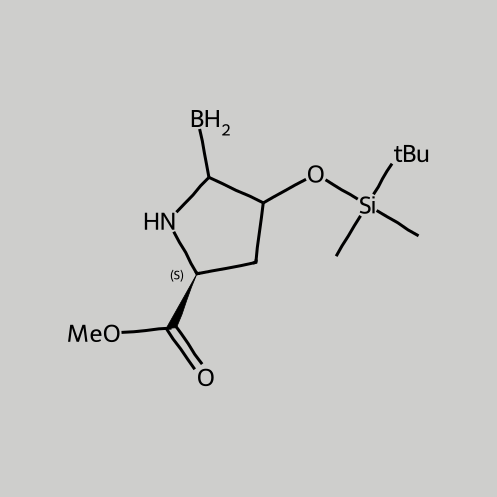 BC1N[C@H](C(=O)OC)CC1O[Si](C)(C)C(C)(C)C